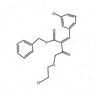 O=C(COCCCl)C(=Cc1cccc(Cl)c1)C(=O)OCc1ccccc1